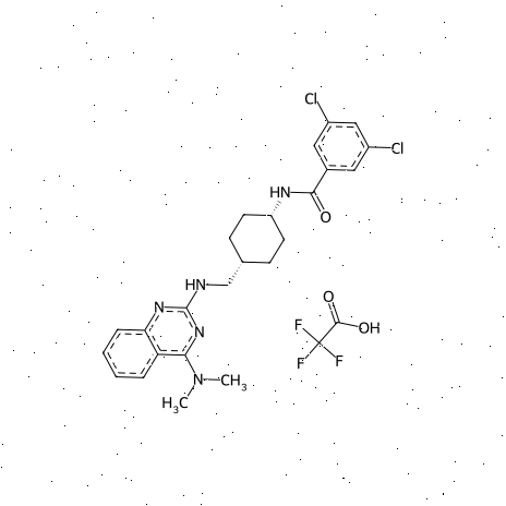 CN(C)c1nc(NC[C@H]2CC[C@@H](NC(=O)c3cc(Cl)cc(Cl)c3)CC2)nc2ccccc12.O=C(O)C(F)(F)F